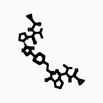 CC(C)[C@@H](NC(=O)C1CC1)C(=O)N1CCC[C@H]1C(=O)NCCc1ccc(-c2cnc([C@@H]3CCCN3C(=O)[C@H](NC(=O)C3CC3)C(C)C)[nH]2)cc1